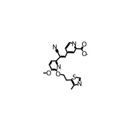 COC(=O)c1cc(C=C(C#N)c2ccc(OC)c(OCCc3scnc3C)n2)ccn1